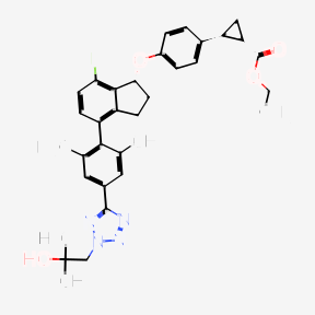 CCOC(=O)[C@H]1C[C@@H]1c1ccc(O[C@@H]2CCc3c(-c4c(C)cc(-c5nnn(CC(C)(C)O)n5)cc4C)ccc(F)c32)cc1